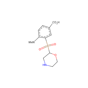 CNc1ccc(C(=O)O)cc1S(=O)(=O)C1CNCCO1